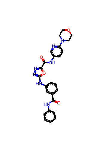 O=C(Nc1ccccc1)c1cccc(Nc2nnc(C(=O)Nc3ccc(N4CCOCC4)nc3)o2)c1